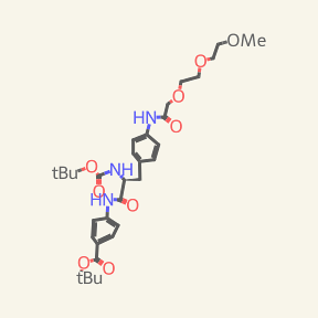 COCCOCCOCC(=O)Nc1ccc(C[C@H](NC(=O)OC(C)(C)C)C(=O)Nc2ccc(C(=O)OC(C)(C)C)cc2)cc1